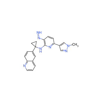 Cn1cc(-c2ccc(N=N)c(NC3(c4ccc5ncccc5c4)CC3)n2)cn1